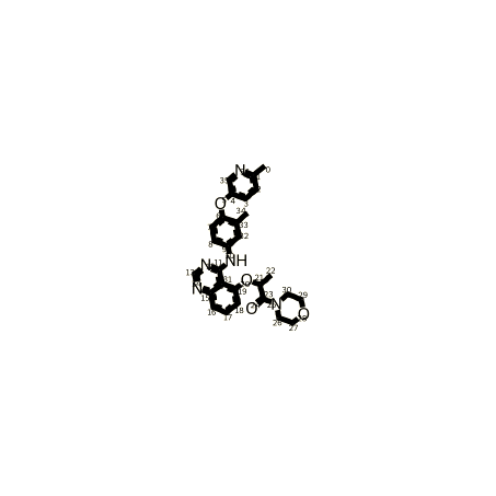 Cc1ccc(Oc2ccc(Nc3ncnc4cccc(OC(C)C(=O)N5CCOCC5)c34)cc2C)cn1